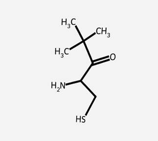 CC(C)(C)C(=O)C(N)CS